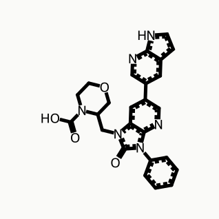 O=C(O)N1CCOCC1Cn1c(=O)n(-c2ccccc2)c2ncc(-c3cnc4[nH]ccc4c3)cc21